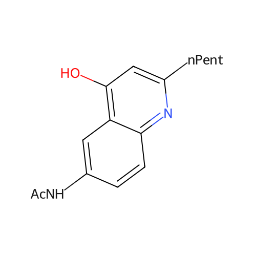 CCCCCc1cc(O)c2cc(NC(C)=O)ccc2n1